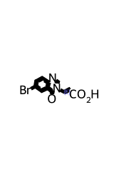 O=C(O)/C=C/n1cnc2ccc(Br)cc2c1=O